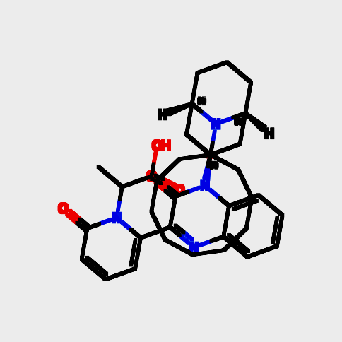 CC(C(=O)O)n1c(-c2nc3ccccc3n([C@@H]3C[C@H]4CCC[C@@H](C3)N4C3CCCCCCCCC3)c2=O)cccc1=O